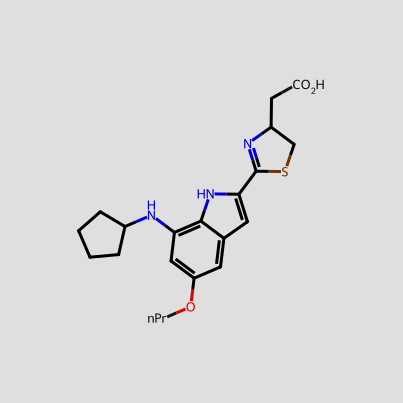 CCCOc1cc(NC2CCCC2)c2[nH]c(C3=NC(CC(=O)O)CS3)cc2c1